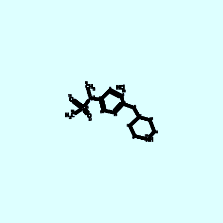 CN(c1ccc(CC2CCNCC2)cc1)S(C)(=O)=O.Cl